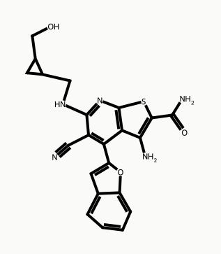 N#Cc1c(NCC2CC2CO)nc2sc(C(N)=O)c(N)c2c1-c1cc2ccccc2o1